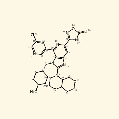 C[C@H]1CC[C@H](Cn2c(N3CCOC4CCOCC43)nc3cc(-c4noc(=O)[nH]4)nc(-c4cncc(Cl)c4)c32)CC1